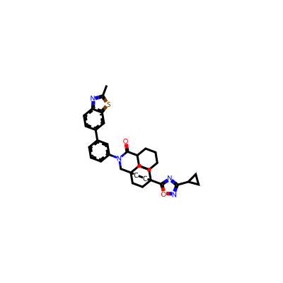 Cc1nc2ccc(-c3cccc(N(CC45CCC(c6nc(C7CC7)no6)(CC4)CC5)C(=O)C4CCCCC4)c3)cc2s1